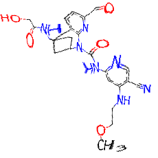 COCCNc1cc(NC(=O)N2c3nc(C=O)ccc3C3(NC(=O)CO)CC2C3)ncc1C#N